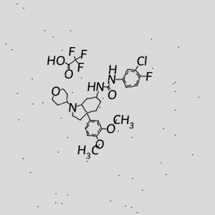 COc1ccc(C23CCC(NC(=O)Nc4ccc(F)c(Cl)c4)CC2N(C2CCOCC2)CC3)cc1OC.O=C(O)C(F)(F)F